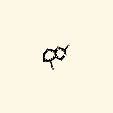 Clc1ncc2c(Br)cccc2n1